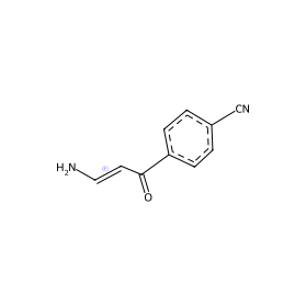 N#Cc1ccc(C(=O)/C=C/N)cc1